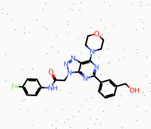 O=C(Cn1nnc2c(N3CCOCC3)nc(-c3cccc(CO)c3)nc21)Nc1ccc(F)cc1